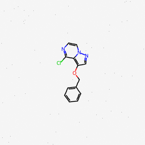 Clc1nccn2ncc(OCc3ccccc3)c12